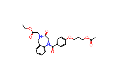 CCOC(=O)CN1Cc2ccccc2N(C(=O)c2ccc(OCCCOC(C)=O)cc2)CC1=O